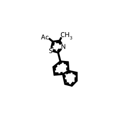 CC(=O)c1sc(-c2ccc3ccccc3c2)nc1C